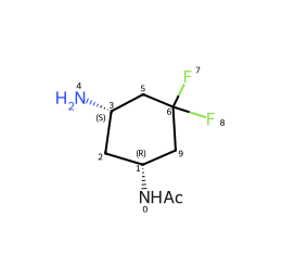 CC(=O)N[C@@H]1C[C@H](N)CC(F)(F)C1